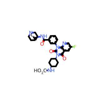 O=C(O)N[C@H]1CC[C@@H](n2c(=O)c3cc(F)cnc3n(-c3cccc(C(=O)NC4CN5CCC4CC5)c3)c2=O)CC1